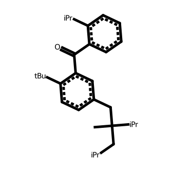 CC(C)CC(C)(Cc1ccc(C(C)(C)C)c(C(=O)c2ccccc2C(C)C)c1)C(C)C